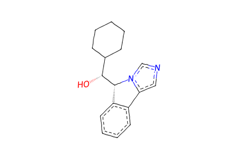 O[C@H](C1CCCCC1)[C@H]1c2ccccc2-c2cncn21